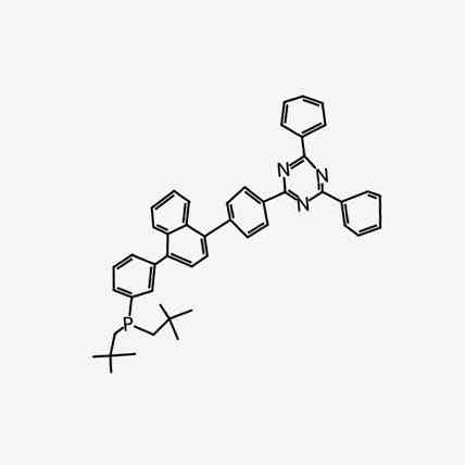 CC(C)(C)CP(CC(C)(C)C)c1cccc(-c2ccc(-c3ccc(-c4nc(-c5ccccc5)nc(-c5ccccc5)n4)cc3)c3ccccc23)c1